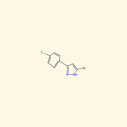 CC(=O)c1cc(-c2ccc(F)cc2)n[nH]1